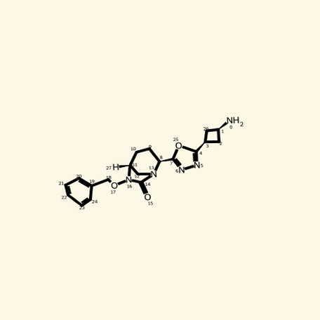 N[C@H]1C[C@@H](c2nnc([C@@H]3CC[C@@H]4CN3C(=O)N4OCc3ccccc3)o2)C1